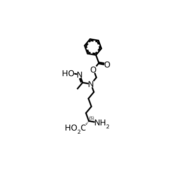 CC(=NO)N(CCCC[C@H](N)C(=O)O)COC(=O)c1ccccc1